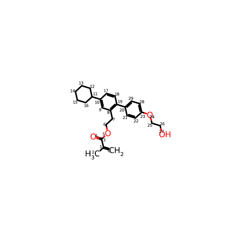 C=C(C)C(=O)OCCc1cc(C2CCCCC2)ccc1-c1ccc(OCCO)cc1